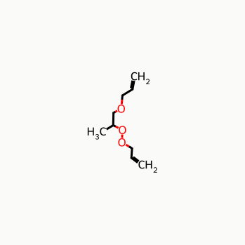 C=CCOCC(C)OOCC=C